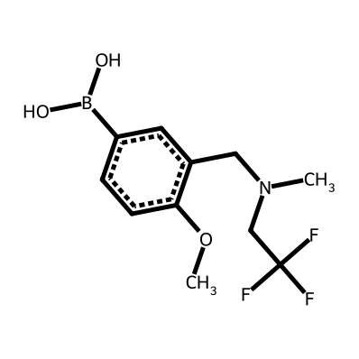 COc1ccc(B(O)O)cc1CN(C)CC(F)(F)F